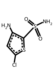 Nc1cc(Cl)sc1S(N)(=O)=O